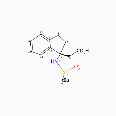 CC(C)(C)[S+]([O-])N[C@@]1(CC(=O)O)CCc2ccccc21